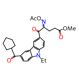 CCn1c2ccc(C(=O)/C(CCC(=O)OC)=N\OC(C)=O)cc2c2cc(C(=O)C3CCCCC3)ccc21